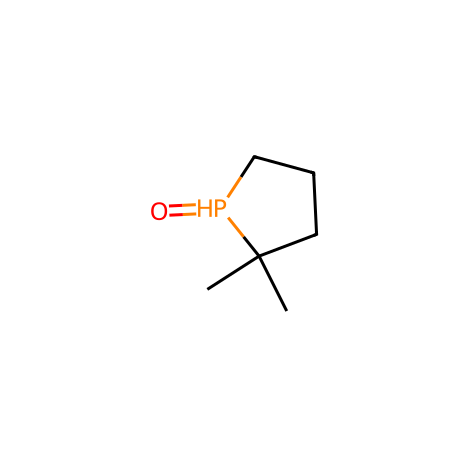 CC1(C)CCC[PH]1=O